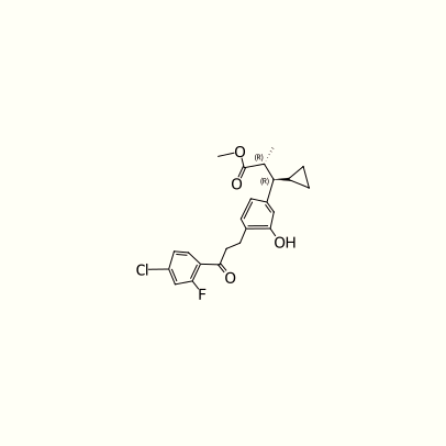 COC(=O)[C@H](C)[C@H](c1ccc(CCC(=O)c2ccc(Cl)cc2F)c(O)c1)C1CC1